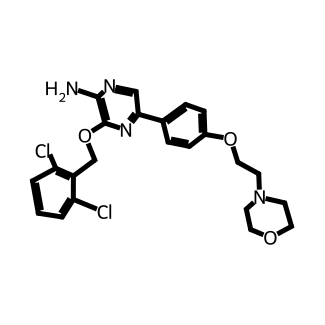 Nc1ncc(-c2ccc(OCCN3CCOCC3)cc2)nc1OCc1c(Cl)cccc1Cl